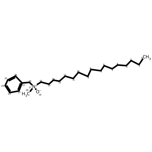 CCCCCCCCCCCCCCCCC[N+](C)([O-])Cc1ccccc1